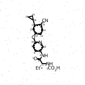 CC[C@@H](NC(=O)O)C(=O)Nc1ccc(Oc2ccc(C#N)c(C3CC3)c2)nc1